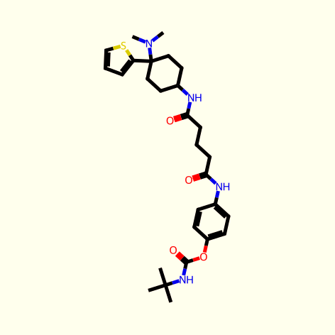 CN(C)C1(c2cccs2)CCC(NC(=O)CCCC(=O)Nc2ccc(OC(=O)NC(C)(C)C)cc2)CC1